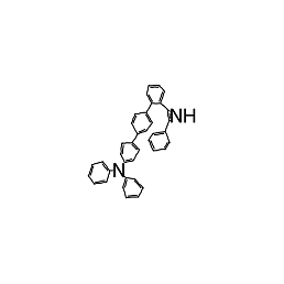 c1ccc(C2=C(c3ccccc3-c3ccc(-c4ccc(N(c5ccccc5)c5ccccc5)cc4)cc3)N2)cc1